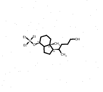 CC[Si](CC)(CC)O[C@H]1CCC[C@@]2(C)C1CC[C@@H]2C(C)CCCO